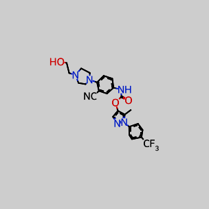 Cc1c(OC(=O)Nc2ccc(N3CCN(CCO)CC3)c(C#N)c2)cnn1-c1ccc(C(F)(F)F)cc1